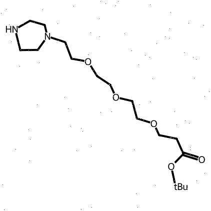 CC(C)(C)OC(=O)CCOCCOCCOCCN1CCNCC1